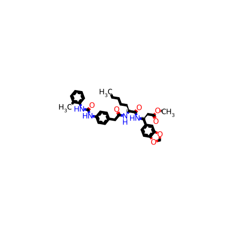 CCCCC[C@H](NC(=O)Cc1ccc(NC(=O)Nc2ccccc2C)cc1)C(=O)N[C@@H](CC(=O)OC)c1ccc2c(c1)OCO2